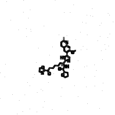 COc1cc2nc(C)ccc2cc1-c1cnc([C@H](CCCCCC(=O)c2ncco2)NC(=O)C2CCCO2)[nH]1